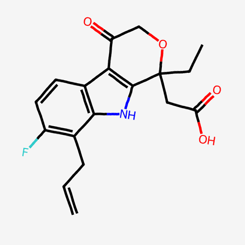 C=CCc1c(F)ccc2c3c([nH]c12)C(CC)(CC(=O)O)OCC3=O